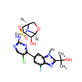 CCS(=O)(=O)N1[C@@H]2CO[C@H]1[C@@H](O)[C@H](Nc1ncc(Cl)c(-c3cc(F)c4nc(C(C)(C)O)n(C(C)C)c4c3)n1)C2